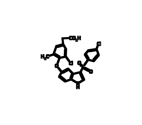 Cc1cc(CC(=O)O)cc(Cl)c1Oc1ccc2[nH]cc(S(=O)(=O)c3ccc(Cl)cc3)c2c1